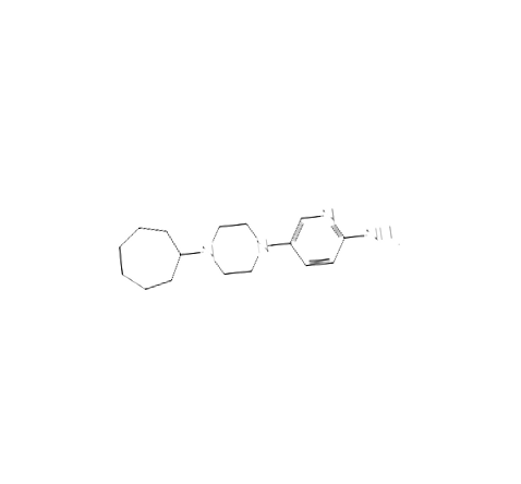 Nc1ccc(N2CCN(C3CCCCCC3)CC2)cn1